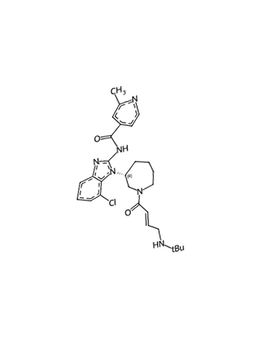 Cc1cc(C(=O)Nc2nc3cccc(Cl)c3n2[C@@H]2CCCCN(C(=O)C=CCNC(C)(C)C)C2)ccn1